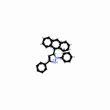 C1=C(c2ccccc2)NN(c2ccccc2)C1c1c2ccccc2cc2ccccc12